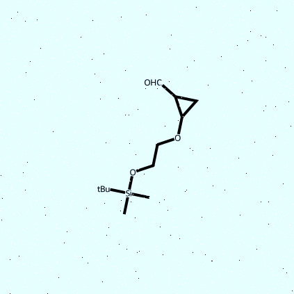 CC(C)(C)[Si](C)(C)OCCOC1CC1C=O